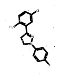 Nc1ccc(Cl)cc1C1=NN(c2ccc(F)cc2)CC1